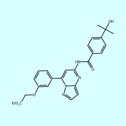 CCOC(=O)COc1cccc(-c2cc(NC(=O)c3ccc(C(C)(C)O)cc3)nc3ccnn23)c1